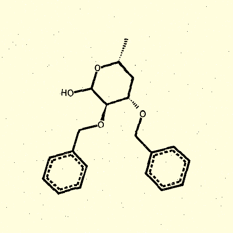 C[C@@H]1C[C@H](OCc2ccccc2)[C@@H](OCc2ccccc2)C(O)O1